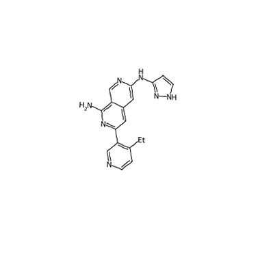 CCc1ccncc1-c1cc2cc(Nc3cc[nH]n3)ncc2c(N)n1